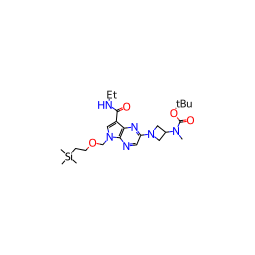 CCNC(=O)c1cn(COCC[Si](C)(C)C)c2ncc(N3CC(N(C)C(=O)OC(C)(C)C)C3)nc12